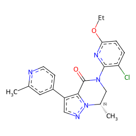 CCOc1ccc(Cl)c(N2C[C@H](C)n3ncc(-c4ccnc(C)c4)c3C2=O)n1